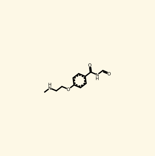 CNCCOc1ccc(C(=O)NC=O)cc1